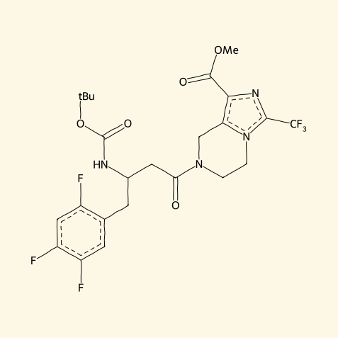 COC(=O)c1nc(C(F)(F)F)n2c1CN(C(=O)CC(Cc1cc(F)c(F)cc1F)NC(=O)OC(C)(C)C)CC2